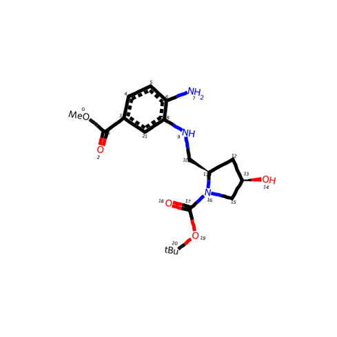 COC(=O)c1ccc(N)c(NC[C@H]2C[C@@H](O)CN2C(=O)OC(C)(C)C)c1